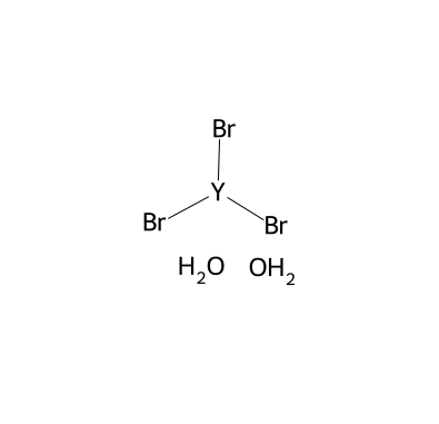 O.O.[Br][Y]([Br])[Br]